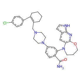 NC(=O)c1ccc(N2CCN(CC3=C(c4ccc(Cl)cc4)CCCC3)CC2)cc1N1CCCOc2nc3[nH]ccc3cc21